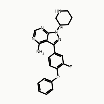 Nc1ncnc2c1c(-c1ccc(Oc3ccccc3)c(F)c1)nn2[C@@H]1CCCNC1